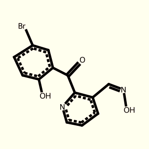 O=C(c1cc(Br)ccc1O)c1ncccc1/C=N\O